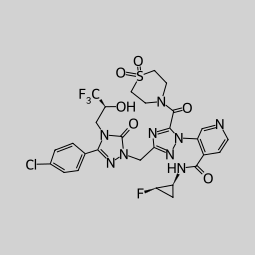 O=C(N[C@H]1C[C@H]1F)c1ccncc1-n1nc(Cn2nc(-c3ccc(Cl)cc3)n(C[C@H](O)C(F)(F)F)c2=O)nc1C(=O)N1CCS(=O)(=O)CC1